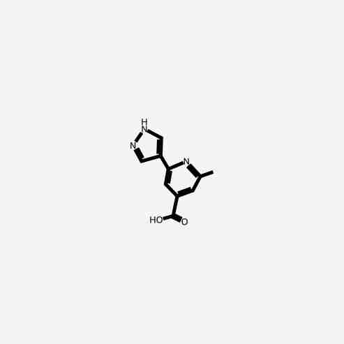 Cc1cc(C(=O)O)cc(-c2cn[nH]c2)n1